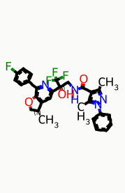 Cc1nn(-c2ccccc2)c(C)c1C(=O)NC[C@](O)(c1cc2c(c(-c3ccc(F)cc3)n1)OC[C@H]2C)C(F)(F)F